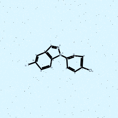 Clc1ccc(-n2ncc3cc(I)ccc32)cc1